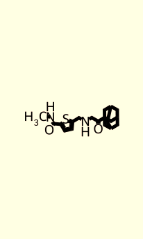 CNC(=O)c1ccc(CNCC(=O)C23CC4CC(CC(C4)C2)C3)s1